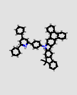 CC1(C)c2ccccc2-c2cc3c4cc5c6ccccc6c6ccccc6c5cc4n(-c4ccc(-c5cc(-c6ccccc6)cc(-c6ccccc6)n5)cc4)c3cc21